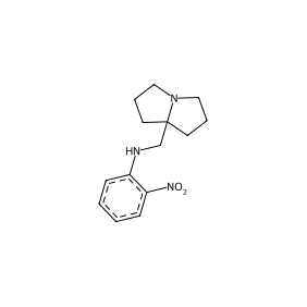 O=[N+]([O-])c1ccccc1NCC12CCCN1CCC2